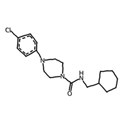 O=C(NCC1CCCCC1)N1CCN(c2ccc(Cl)cc2)CC1